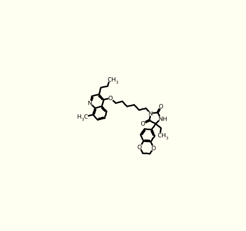 CCCc1cnc2c(C)cccc2c1OCCCCCCN1C(=O)NC(CC)(c2ccc3c(c2)OCCO3)C1=O